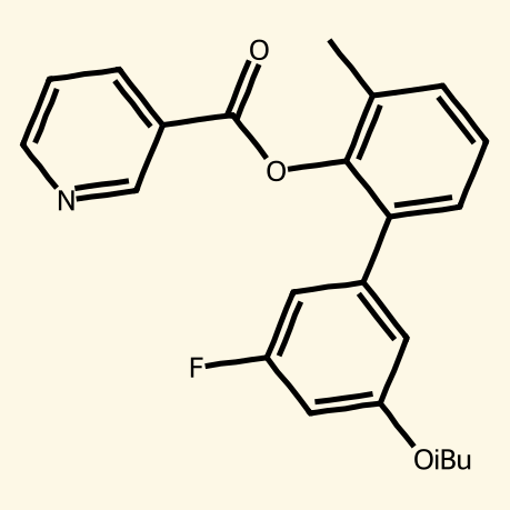 Cc1cccc(-c2cc(F)cc(OCC(C)C)c2)c1OC(=O)c1cccnc1